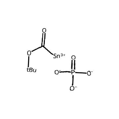 CC(C)(C)O[C](=O)[Sn+3].O=P([O-])([O-])[O-]